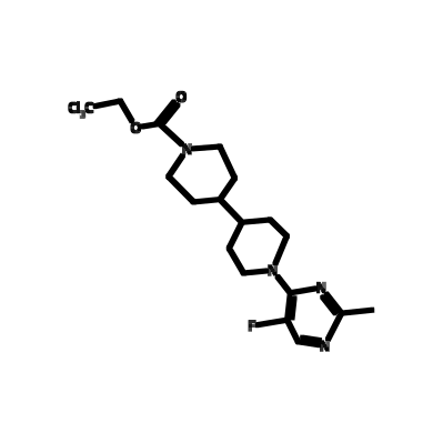 Cc1ncc(F)c(N2CCC(C3CCN(C(=O)OCC(Cl)(Cl)Cl)CC3)CC2)n1